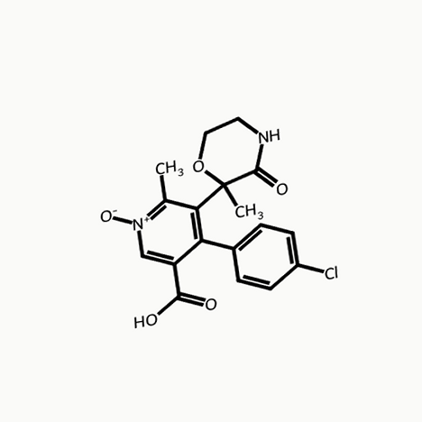 Cc1c(C2(C)OCCNC2=O)c(-c2ccc(Cl)cc2)c(C(=O)O)c[n+]1[O-]